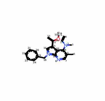 C=CN(C)c1c(C)cnc2c1c(C(=C)OCC)cn2Cc1ccccc1